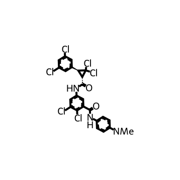 CNc1ccc(NC(=O)c2cc(NC(=O)[C@@H]3[C@@H](c4cc(Cl)cc(Cl)c4)C3(Cl)Cl)cc(Cl)c2Cl)cc1